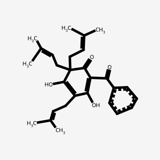 CC(C)=CCC1=C(O)C(CC=C(C)C)(CC=C(C)C)C(=O)C(C(=O)c2ccccc2)=C1O